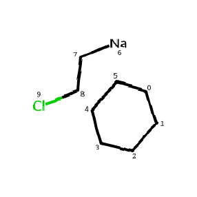 C1CCCCC1.[Na][CH2]CCl